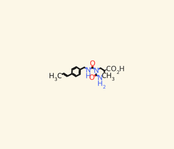 C/C=C/c1ccc(CNC(=O)N(C[C@H](C)C(=O)O)C(N)=O)cc1